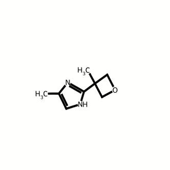 Cc1c[nH]c(C2(C)COC2)n1